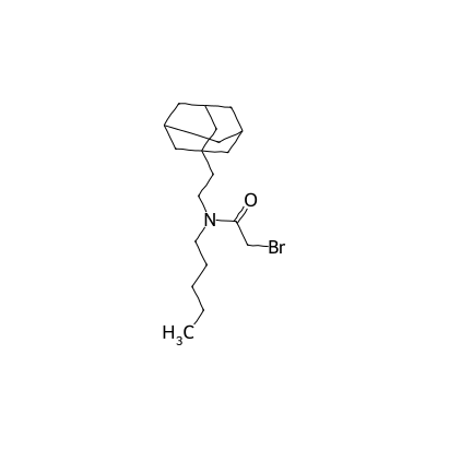 CCCCCN(CCC12CC3CC(CC(C3)C1)C2)C(=O)CBr